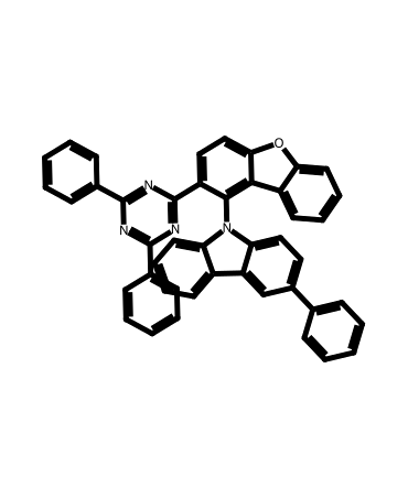 c1ccc(-c2ccc3c(c2)c2ccccc2n3-c2c(-c3nc(-c4ccccc4)nc(-c4ccccc4)n3)ccc3oc4ccccc4c23)cc1